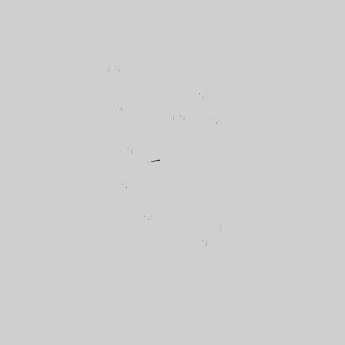 CN(CCCNC(=O)[C@@H]1CCCN1C(=O)[C@H](CCCNC(=N)N)NC(=O)[C@@H]1CCCN1C(=O)[C@H](N)Cc1ccccc1)C(=O)OC1CC/C=C\CCC1